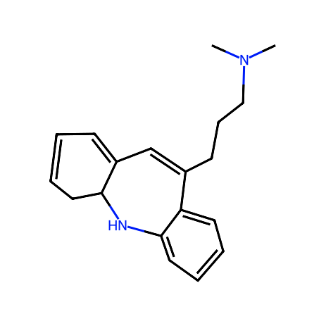 CN(C)CCCC1=CC2=CC=CCC2Nc2ccccc21